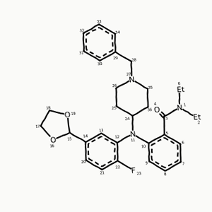 CCN(CC)C(=O)c1ccccc1N(c1cc(C2OCCO2)ccc1F)C1CCN(Cc2ccccc2)CC1